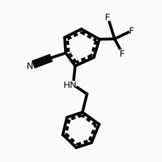 N#Cc1ccc(C(F)(F)F)cc1NCc1ccccc1